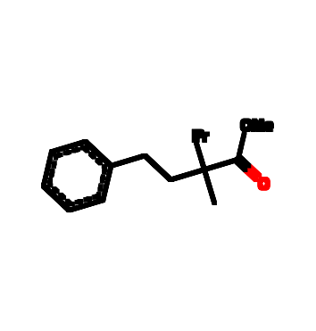 COC(=O)C(C)(CCc1ccccc1)C(C)C